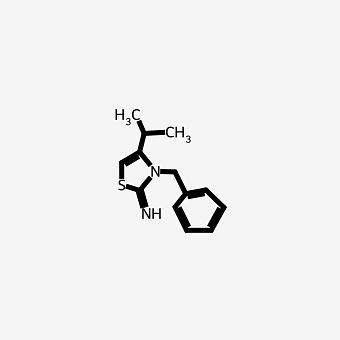 CC(C)c1csc(=N)n1Cc1ccccc1